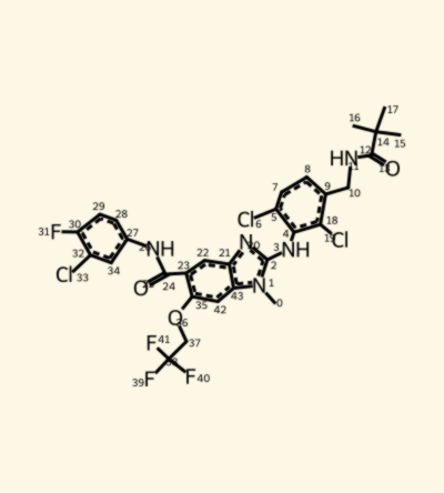 Cn1c(Nc2c(Cl)ccc(CNC(=O)C(C)(C)C)c2Cl)nc2cc(C(=O)Nc3ccc(F)c(Cl)c3)c(OCC(F)(F)F)cc21